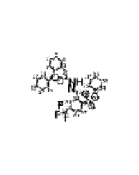 O=C(Cc1ccccc1Oc1ccccc1)N/N=C/c1cc(C(F)(F)F)ccc1S(=O)(=O)Oc1ccccc1